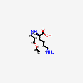 C=C(CCCCN)C(=O)O.C=COCCCN